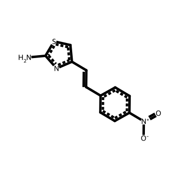 Nc1nc(C=Cc2ccc([N+](=O)[O-])cc2)cs1